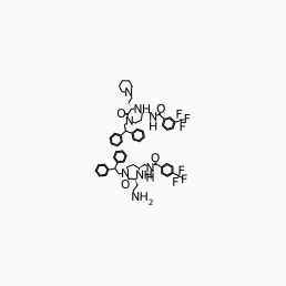 NCC[C@@H]1N[C@H](CNC(=O)c2ccc(C(F)(F)F)cc2)CCN(CC(c2ccccc2)c2ccccc2)C1=O.O=C(NC[C@@H]1CCN(CC(c2ccccc2)c2ccccc2)C(=O)[C@H](CCN2CCCCC2)N1)c1cccc(C(F)(F)F)c1